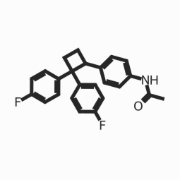 CC(=O)Nc1ccc(C2CCC2(c2ccc(F)cc2)c2ccc(F)cc2)cc1